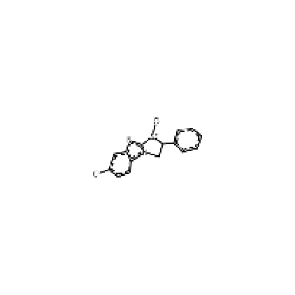 [O-][S+]1c2nc3cc(Cl)ccc3n2CC1c1ccccc1